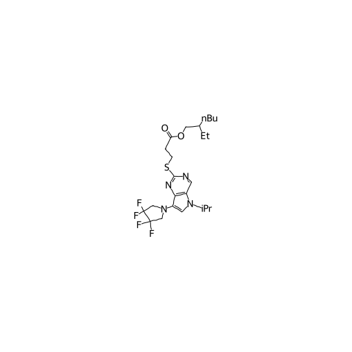 CCCCC(CC)COC(=O)CCSc1ncc2c(n1)c(N1CC(F)(F)C(F)(F)C1)cn2C(C)C